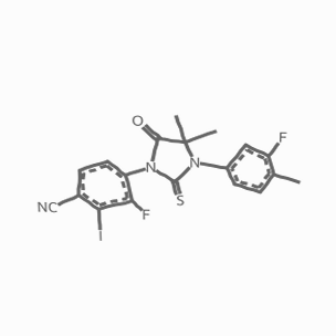 Cc1ccc(N2C(=S)N(c3ccc(C#N)c(I)c3F)C(=O)C2(C)C)cc1F